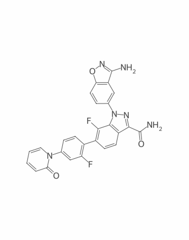 NC(=O)c1nn(-c2ccc3onc(N)c3c2)c2c(F)c(-c3ccc(-n4ccccc4=O)cc3F)ccc12